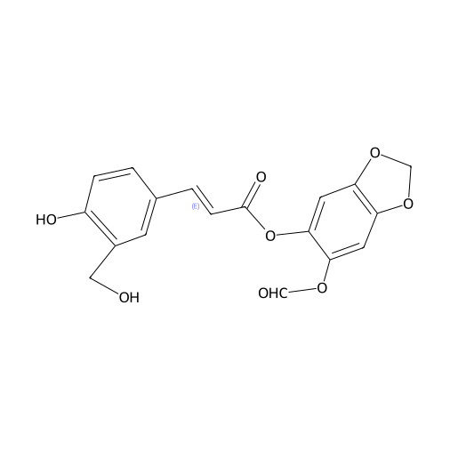 O=COc1cc2c(cc1OC(=O)/C=C/c1ccc(O)c(CO)c1)OCO2